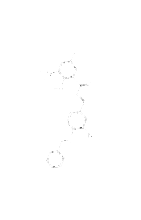 Cc1cc(C(=O)C=Cc2ccc(OCc3ccccc3)c([N+](=O)[O-])c2)c(O)c([N+](=O)[O-])c1